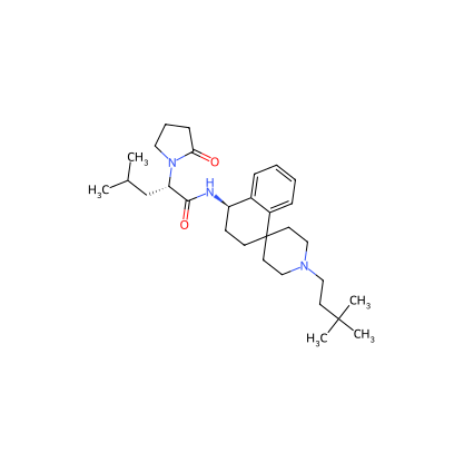 CC(C)C[C@@H](C(=O)N[C@@H]1CCC2(CCN(CCC(C)(C)C)CC2)c2ccccc21)N1CCCC1=O